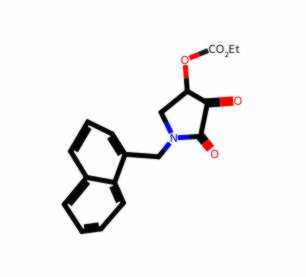 CCOC(=O)OC1CN(Cc2cccc3ccccc23)C(=O)C1=O